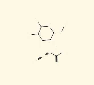 CC(=O)N=[N+]=[N-].N[C@H]1C(O)O[C@H](CO)[C@H](O)[C@@H]1O